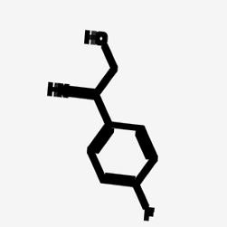 N=C(CO)c1ccc(F)cc1